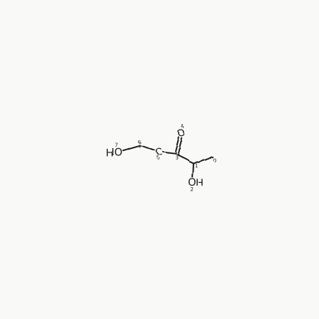 CC(O)C(=O)C[CH]O